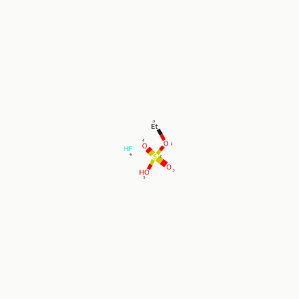 CCOS(=O)(=O)O.F